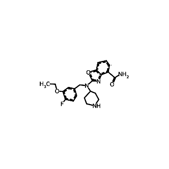 CCOc1cc(CN(c2nc3c(C(N)=O)[c]ccc3o2)C2CCNCC2)ccc1F